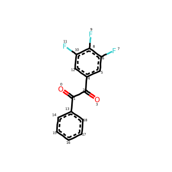 O=C(C(=O)c1cc(F)c(F)c(F)c1)c1ccccc1